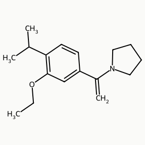 C=C(c1ccc(C(C)C)c(OCC)c1)N1CCCC1